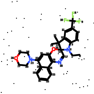 CCN1c2ccc(C(F)(F)F)cc2C(C)(C)C12C=Nc1c(cc(N3CCOCC3)c3ccccc13)O2